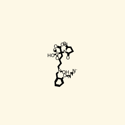 [N-]=[N+]=NOc1ccccc1CN(O)CCCCC(C(=O)O)(N1C(=O)CCC1=O)S(=O)(=O)O